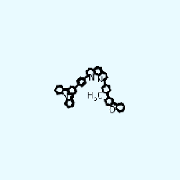 CC1C=C(c2ccc3ccc4ccc(-c5ccc(-c6cc7c8ccccc8n8c9ccccc9c(c6)c78)cc5)nc4c3n2)C=CC1c1ccc2oc3ccccc3c2c1